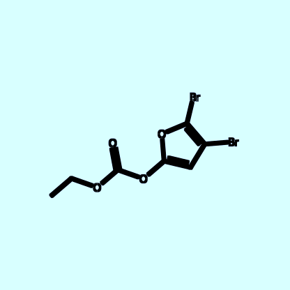 CCOC(=O)Oc1cc(Br)c(Br)o1